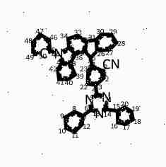 N#Cc1cc(-c2nc(-c3ccccc3)nc(-c3ccccc3)n2)ccc1C1c2ccccc2-c2ccc3c(c21)c1ccccc1n3-c1ccccc1